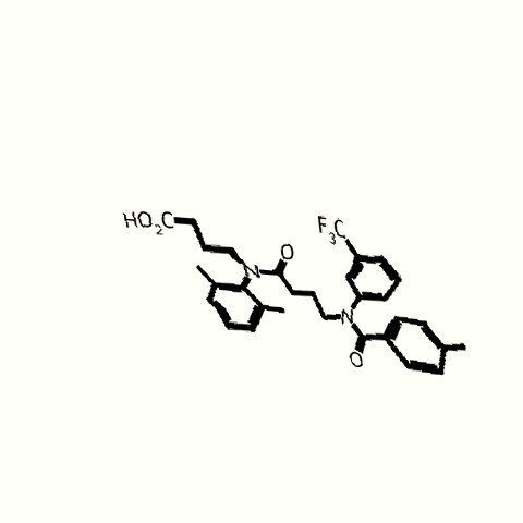 Cc1ccc(C(=O)N(CCCC(=O)N(CCCC(=O)O)c2c(C)cccc2C)c2cccc(C(F)(F)F)c2)cc1